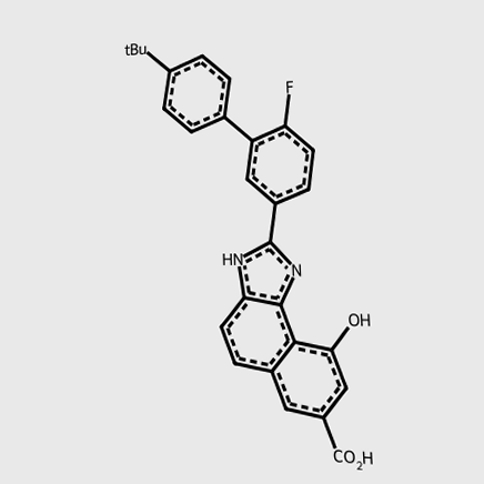 CC(C)(C)c1ccc(-c2cc(-c3nc4c(ccc5cc(C(=O)O)cc(O)c54)[nH]3)ccc2F)cc1